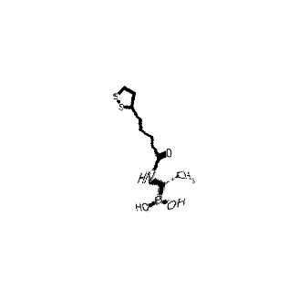 C[C@@H](NC(=O)CCCCC1CCSS1)B(O)O